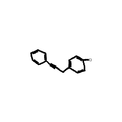 Clc1ccc(CC#Cc2ccccc2)cc1